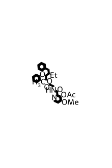 CC[C@H](Cc1ccccc1)[C@@H](Oc1ccccc1)[C@H](C)OC(=O)CNC(=O)c1nccc(OC)c1OC(C)=O